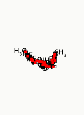 CON=C1CN(c2ncc(-c3cccc(COC(=O)N(OC(=O)/C=C\C(=O)ON(C(=N)N)C(=O)OCc4cccc(-c5cnc(N6CC(=NOC)C6)c(F)c5)c4F)C(=N)N)c3F)cc2F)C1